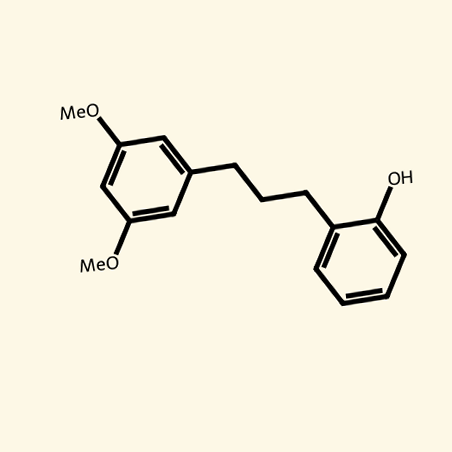 COc1cc(CCCc2ccccc2O)cc(OC)c1